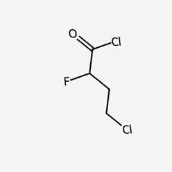 O=C(Cl)C(F)CCCl